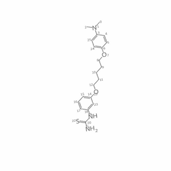 CN(C)c1ccc(OCCCCCOc2cccc(NC(N)=S)c2)cc1